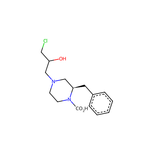 O=C(O)N1CCN(CC(O)CCl)C[C@H]1Cc1ccccc1